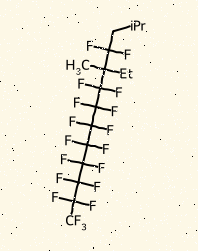 CCC(C)(C(F)(F)CC(C)C)C(F)(F)C(F)(F)C(F)(F)C(F)(F)C(F)(F)C(F)(F)C(F)(F)C(F)(F)F